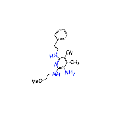 COCCNc1nc(NCCc2ccccc2)c(C#N)c(C)c1N